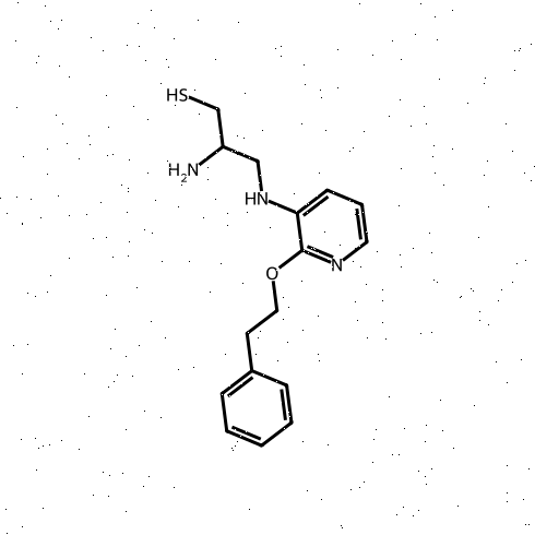 NC(CS)CNc1cccnc1OCCc1ccccc1